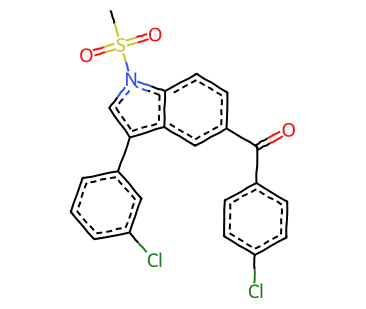 CS(=O)(=O)n1cc(-c2cccc(Cl)c2)c2cc(C(=O)c3ccc(Cl)cc3)ccc21